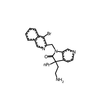 CCCC1(CCN)C(=O)N(Cc2ncc3ccccc3c2Br)c2cnccc21